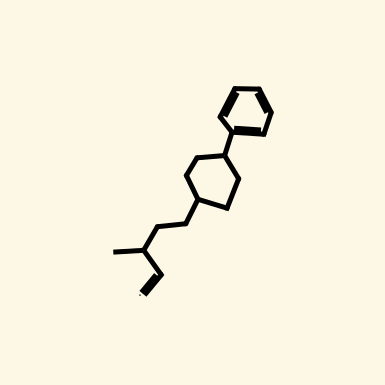 [CH]=CC(C)CCC1CCC(c2ccccc2)CC1